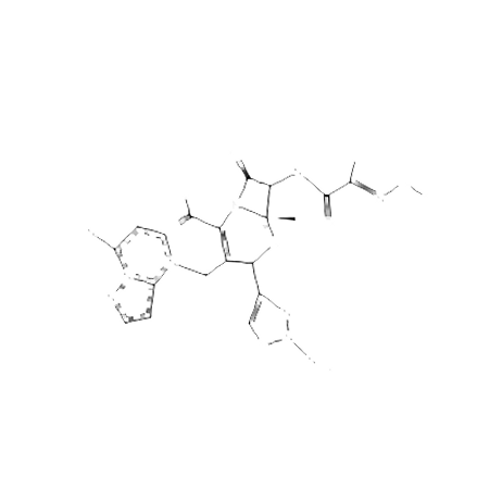 CON=C(F)C(=O)NC1C(=O)N2C(C(=O)[O-])=C(C[n+]3ccc(N)n4nccc43)C(C3=CSN(N)N3)S[C@@H]12